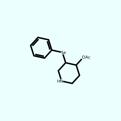 CC(=O)OC1CCNCC1[Se]c1ccccc1